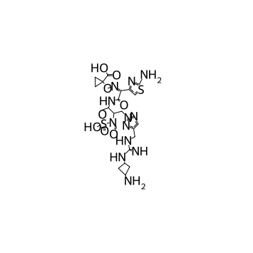 CC(NC(=O)/C(=N\OC1(C(=O)O)CC1)c1csc(N)n1)C(Cn1ncc(CNC(=N)N[C@H]2C[C@@H](N)C2)n1)N(C=O)S(=O)(=O)O